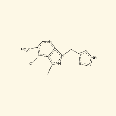 Cc1nn(Cc2c[nH]cn2)c2ncc(C(=O)O)c(Cl)c12